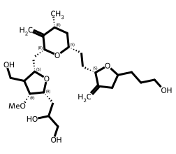 C=C1CC(CCCO)O[C@H]1CC[C@H]1C[C@@H](C)C(=C)[C@@H](C[C@@H]2O[C@H](CC(O)CO)[C@H](OC)C2CO)O1